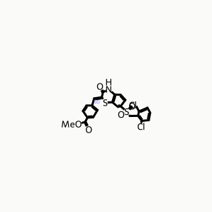 COC(=O)c1ccc(/C=C2\Sc3cc(S(=O)(=O)Cc4c(Cl)cccc4Cl)ccc3NC2=O)cc1